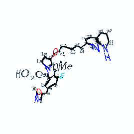 COc1c(F)cc(Cc2cnco2)cc1[C@H](C(=O)O)N1CC[C@@H](OCCCCCc2ccc3c(n2)NCCC3)C1